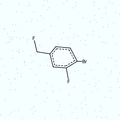 FCc1ccc(Br)c(F)c1